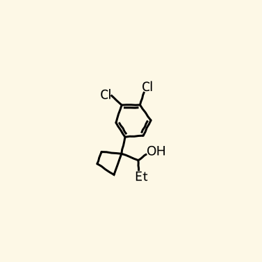 CCC(O)C1(c2ccc(Cl)c(Cl)c2)CCC1